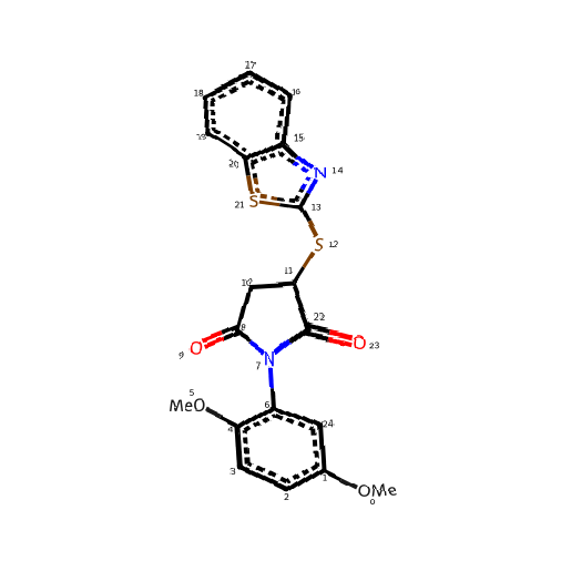 COc1ccc(OC)c(N2C(=O)CC(Sc3nc4ccccc4s3)C2=O)c1